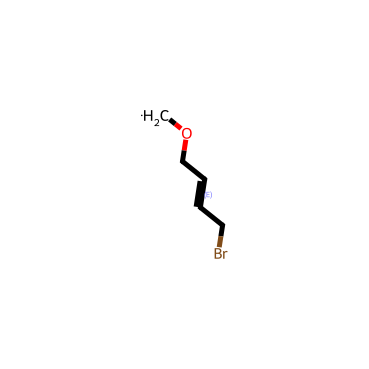 [CH2]OC/C=C/CBr